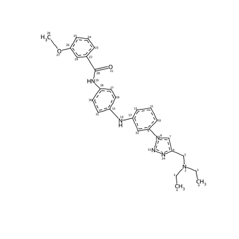 CCN(CC)Cc1cn(-c2cccc(Nc3ccc(NC(=O)c4cccc(OC)c4)cc3)c2)nn1